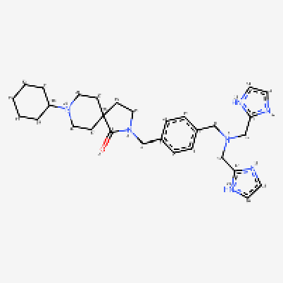 O=C1N(Cc2ccc(CN(Cc3ncc[nH]3)Cc3ncc[nH]3)cc2)CCC12CCN(C1CCCCC1)CC2